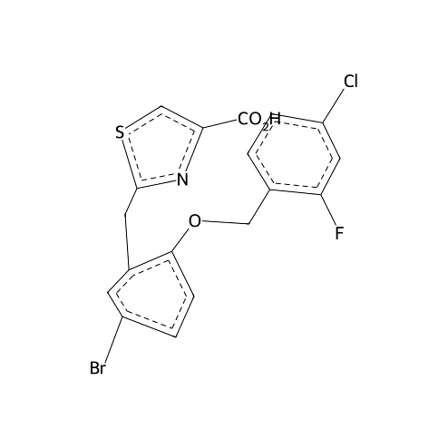 O=C(O)c1csc(Cc2cc(Br)ccc2OCc2ccc(Cl)cc2F)n1